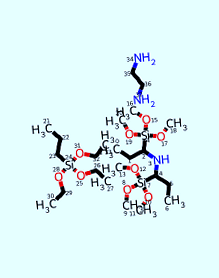 CCC(NC(CC)[Si](OC)(OC)OC)[Si](OC)(OC)OC.CCC[Si](OCC)(OCC)OCC.NCCN